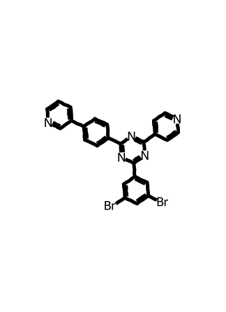 Brc1cc(Br)cc(-c2nc(-c3ccncc3)nc(-c3ccc(-c4cccnc4)cc3)n2)c1